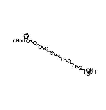 CCCCCCCCCc1ccccc1OCCOCCOCCOCCOCCOCCOCCOCCOCCOCCOP(=O)(O)O